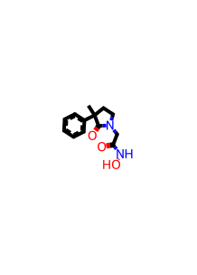 CC1(c2ccccc2)CCN(CC(=O)NO)C1=O